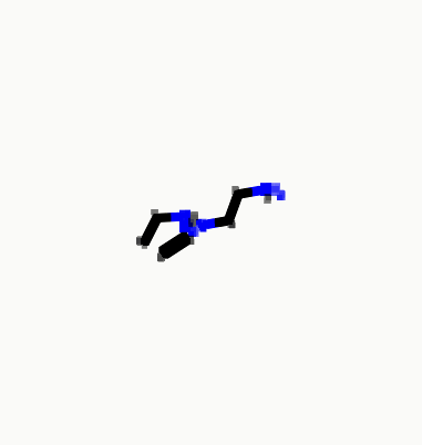 C=C.NCCN.[CH2]CN